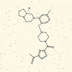 CC(=O)c1ccn(C(=O)N2CCN(Cc3ccc(C)cc3N3CCN4CCC[C@H]4C3)CC2)n1